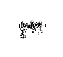 CC[C@H](C)C1C(OC(C)(C)C)=CC(=O)N1C1CCN(C2=CC(=O)NC2CC(=O)OCc2ccccc2)C1